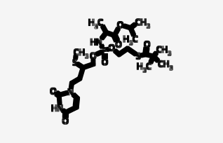 CSC(CCn1ccc(=O)[nH]c1=O)COP(=O)(NC(C)C(=O)OC(C)C)OCCSC(=O)C(C)(C)C